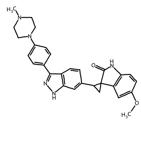 COc1ccc2c(c1)C1(CC1c1ccc3c(-c4ccc(N5CCN(C)CC5)cc4)n[nH]c3c1)C(=O)N2